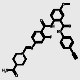 C#Cc1ccc(NC(=O)c2cc(OC)ccc2NC(=O)c2ccc(N=CN3CCC(C(N)=O)CC3)cc2F)cc1